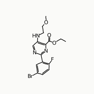 CCOC(=O)c1nc(-c2cc(Br)ccc2F)ncc1NCCOC